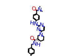 Cc1ccc(CNC(=O)[C@H]2CCCN(c3ccnc(Nc4ccc(C(=O)N(C)C)cc4)n3)C2)cc1